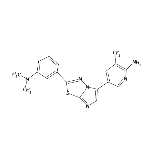 CN(C)c1cccc(-c2nn3c(-c4cnc(N)c(C(F)(F)F)c4)cnc3s2)c1